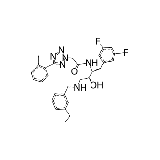 CCc1cccc(CNC[C@H](O)[C@H](Cc2cc(F)cc(F)c2)NC(=O)Cn2nnc(-c3ccccc3C)n2)c1